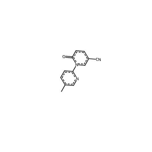 Cc1ccc(-n2cc(C#N)ccc2=O)nc1